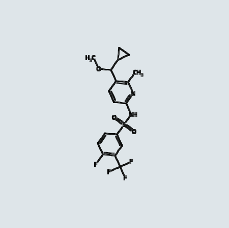 COC(c1ccc(NS(=O)(=O)c2ccc(F)c(C(F)(F)F)c2)nc1C)C1CC1